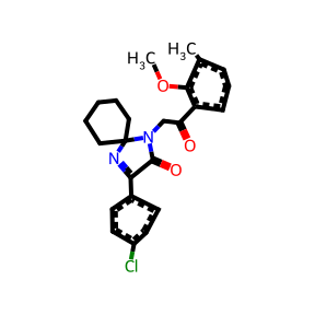 COc1c(C)cccc1C(=O)CN1C(=O)C(c2ccc(Cl)cc2)=NC12CCCCC2